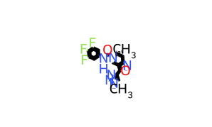 C[C@H]1Cc2noc(-c3cn(C)nn3)c2CN1C(=O)Nc1cc(F)c(F)c(F)c1